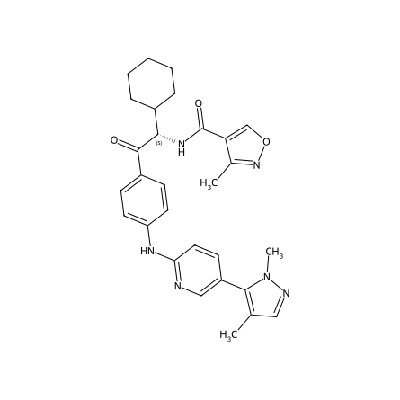 Cc1cnn(C)c1-c1ccc(Nc2ccc(C(=O)[C@@H](NC(=O)c3conc3C)C3CCCCC3)cc2)nc1